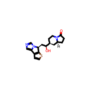 O=C1CC[C@H]2C[C@@H]([C@@H](O)C[C@H]3c4sccc4-c4cncn43)CCN12